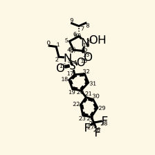 CCCN([C@@H]1C[C@H](C(C)C)N(O)C1=O)S(=O)(=O)c1ccc(-c2ccc(C(F)(F)F)cc2)cc1